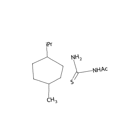 CC(=O)NC(N)=S.CC1CCC(C(C)C)CC1